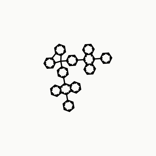 c1ccc(-c2c3ccccc3c(-c3ccc(C4(c5ccc(-c6c7ccccc7c(-c7ccccc7)c7ccccc67)cc5)c5ccccc5-c5ccccc54)cc3)c3ccccc23)cc1